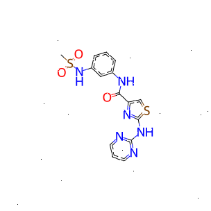 CS(=O)(=O)Nc1cccc(NC(=O)c2csc(Nc3ncccn3)n2)c1